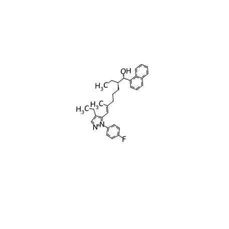 CCc1cnn(-c2ccc(F)cc2)c1/C=C(\C)CCC[C@@H](CC)[C@@H](O)c1cccc2ccccc12